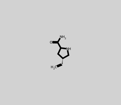 C=C[C@H]1CNC(C(N)=O)C1